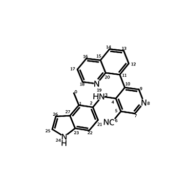 Cc1c(Nc2c(C#N)cncc2-c2cccc3cccnc23)ccc2[nH]ccc12